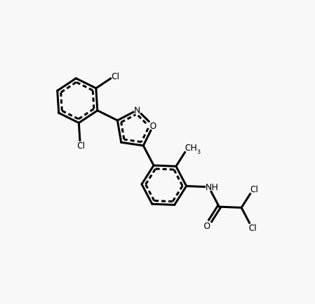 Cc1c(NC(=O)C(Cl)Cl)cccc1-c1cc(-c2c(Cl)cccc2Cl)no1